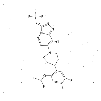 Fc1cc(OC(F)F)c(C2CCN(c3cnn4c(CC(F)(F)F)nnc4c3Cl)CC2)cc1F